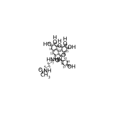 CC(=O)NCCCCNC(=O)C1=Cc2cc(O)c(O)c(O)c2[C@H](c2ccc(O)c(O)c2)[C@H]1C(=O)Nc1ccc(O)cc1